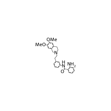 COc1cc2c(cc1OC)CN(CCc1cccc(NC(=O)c3ccccc3N)c1)CC2